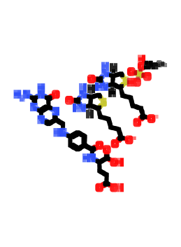 Nc1nc2ncc(CNc3ccc(C(=O)NC(CCC(=O)O)C(=O)O)cc3)nc2c(=O)[nH]1.O=C([O-])CCCC[C@@H]1SC[C@@H]2NC(=O)N[C@@H]21.O=C([O-])CCCC[C@@H]1SC[C@@H]2NC(=O)N[C@@H]21.O=S(=O)(O)O.[Mn+2]